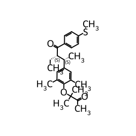 CC[C@H](C(=O)c1ccc(SC)cc1)[C@H](C)c1cc(C)c(OC(C)(C)C(C)=O)c(C)c1